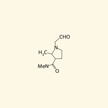 CNC(=O)C1CCN(CC=O)C1C